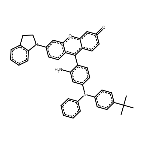 CC(C)(C)c1ccc(N(c2ccccc2)c2ccc(-c3c4ccc(=O)cc-4oc4cc(N5CCc6ccccc65)ccc34)c(N)c2)cc1